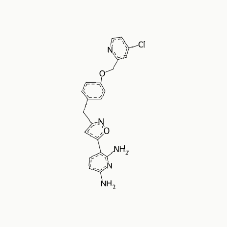 Nc1ccc(-c2cc(Cc3ccc(OCc4cc(Cl)ccn4)cc3)no2)c(N)n1